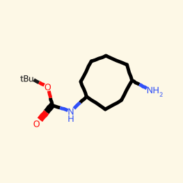 CC(C)(C)OC(=O)NC1CCCCC(N)CC1